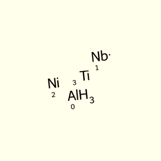 [AlH3].[Nb].[Ni].[Ti]